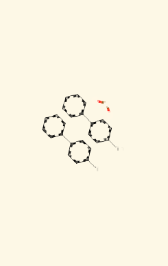 CC(C)c1ccc(-c2ccccc2)cc1.CC(C)c1ccc(-c2ccccc2)cc1.O=S=O